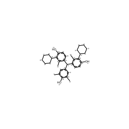 Cc1cc(C(c2ccc(O)c(C3CCCCC3)c2C)c2ccc(O)c(C3CCCCC3)c2C)cc(C)c1O